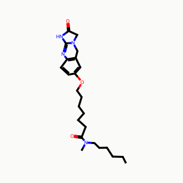 CCCCCCN(C)C(=O)CCCCCCOc1ccc2c(c1)CN1CC(=O)NC1=N2